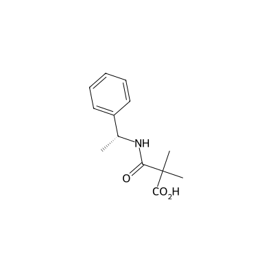 C[C@@H](NC(=O)C(C)(C)C(=O)O)c1ccccc1